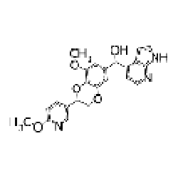 COc1ccc(C2COc3cc(C(O)c4ccnc5[nH]ccc45)cc(OC)c3O2)cn1